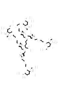 CC(=O)NC1[C@H](OCCOCCn2cc(CN(Cc3cn(CCOCCO[C@@H]4O[C@H](CO)[C@H](O)[C@H](O)[C@H]4NC(C)=O)nn3)C(CCCCN(Cc3cn(CCOCCOC4O[C@H](CO)[C@H](O)[C@H](O)[C@H]4NC(C)=O)nn3)Cc3cn(CCOCCO[C@@H]4O[C@H](CO)[C@H](O)[C@H](O)[C@H]4NC(C)=O)nn3)C(C)C)nn2)O[C@H](CO)[C@H](O)[C@@H]1O